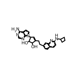 Nc1ncnc2c1ccn2C1C=C(CCc2ccc3ccc(NC4CCC4)nc3c2)C(O)C1O